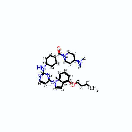 CN(C)C1CCN(C(=O)[C@H]2CC[C@H](Nc3nccc(-n4ccc5c(OCCCC(F)(F)F)cccc54)n3)CC2)CC1